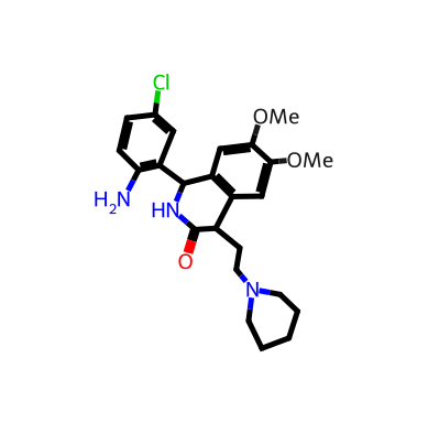 COc1cc2c(cc1OC)C(c1cc(Cl)ccc1N)NC(=O)C2CCN1CCCCC1